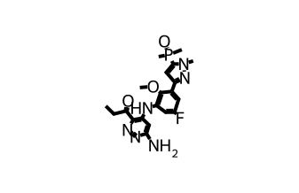 CCC(=O)c1nnc(N)cc1Nc1cc(F)cc(-c2cc(P(C)(C)=O)n(C)n2)c1OC